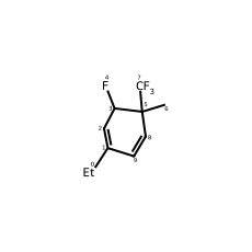 CCC1=CC(F)C(C)(C(F)(F)F)C=C1